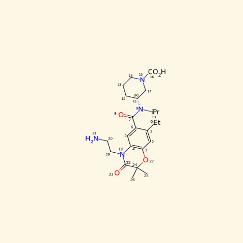 CCc1cc2c(cc1C(=O)N(C(C)C)[C@@H]1CCCN(C(=O)O)C1)N(CCN)C(=O)C(C)(C)O2